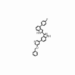 Fc1ccc(-c2cccc3[nH]c(-c4n[nH]c5ccc(-c6cncc(OCc7ccccc7)c6)cc45)cc23)cc1